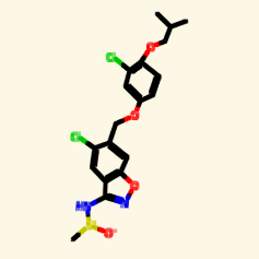 CC(C)COc1ccc(OCc2cc3onc(N[S+](C)[O-])c3cc2Cl)cc1Cl